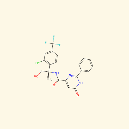 C[C@](CO)(NC(=O)c1cc(=O)[nH]c(-c2ccccc2)n1)c1ccc(C(F)(F)F)cc1Cl